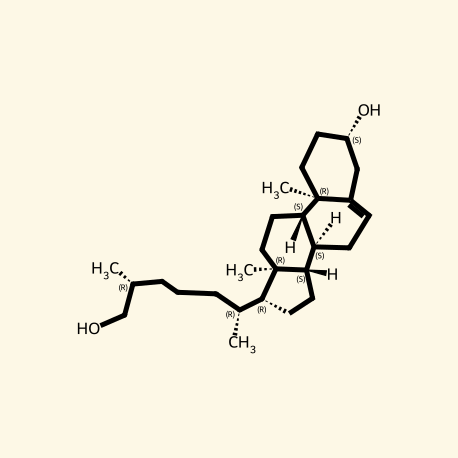 C[C@@H](CO)CCC[C@@H](C)[C@H]1CC[C@H]2[C@@H]3CC=C4C[C@@H](O)CC[C@]4(C)[C@H]3CC[C@]12C